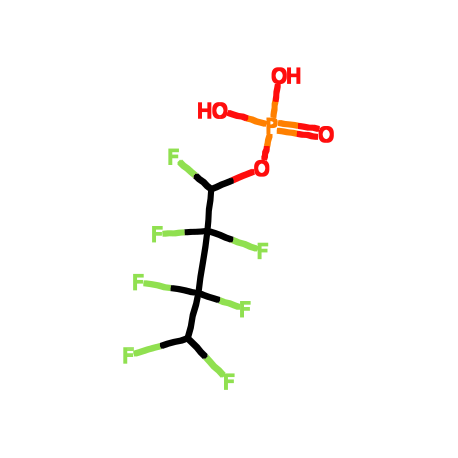 O=P(O)(O)OC(F)C(F)(F)C(F)(F)C(F)F